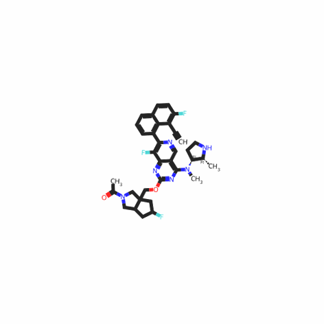 C#Cc1c(F)ccc2cccc(-c3ncc4c(N(C)[C@@H]5CCN[C@@H]5C)nc(OCC56CC(F)CC5CN(C(C)=O)C6)nc4c3F)c12